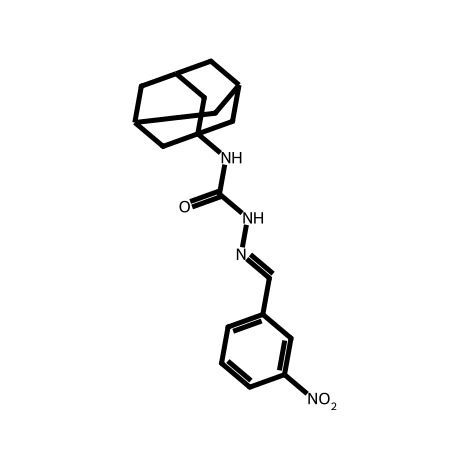 O=C(N/N=C/c1cccc([N+](=O)[O-])c1)NC12CC3CC(CC(C3)C1)C2